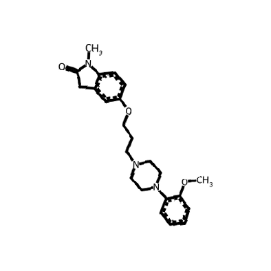 COc1ccccc1N1CCN(CCCOc2ccc3c(c2)CC(=O)N3C)CC1